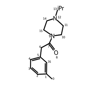 Cc1cccc(CC(=O)N2CCN(C(C)C)CC2)c1